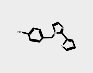 N#Cc1ccc(Cn2ccnc2-c2cccs2)cc1